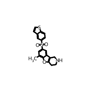 Cc1cc(S(=O)(=O)c2ccc3sccc3c2)cc2c3c(oc12)CCNC3